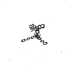 c1ccc(-c2ccc(-c3ccc(-c4nc(-c5ccc(-c6ccc(-c7ccccc7)cc6)cc5)nc(-c5ccc(-n6c7cc8ccccc8cc7c7cc8ccccc8cc76)c(-c6ccc7c(c6)sc6ccccc67)c5)n4)cc3)cc2)cc1